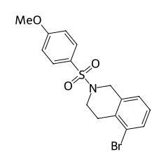 COc1ccc(S(=O)(=O)N2CCc3c(Br)cccc3C2)cc1